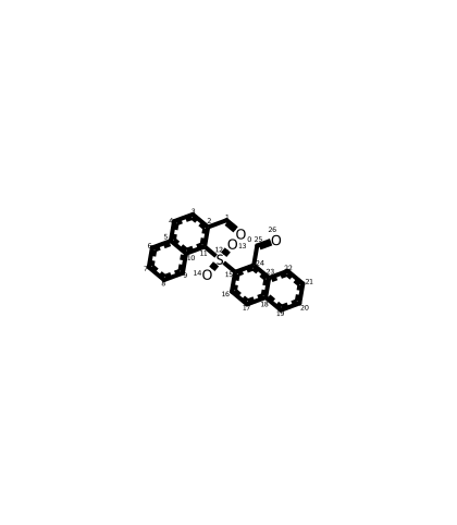 O=Cc1ccc2ccccc2c1S(=O)(=O)c1ccc2ccccc2c1C=O